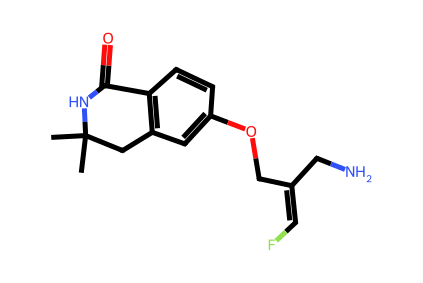 CC1(C)Cc2cc(OC/C(=C\F)CN)ccc2C(=O)N1